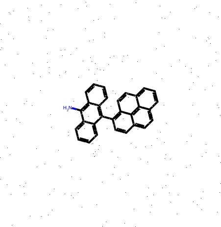 Nc1c2ccccc2c(-c2ccc3ccc4cccc5ccc2c3c45)c2ccccc12